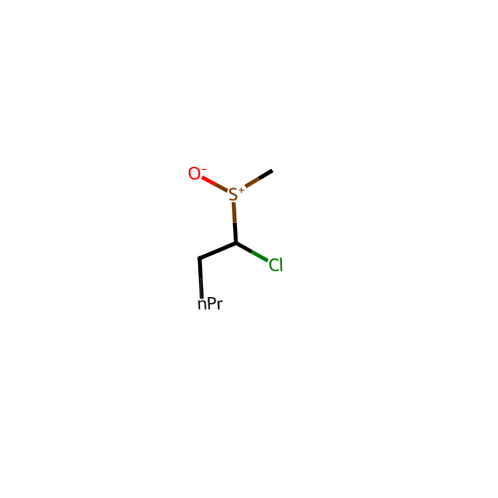 CCCCC(Cl)[S+](C)[O-]